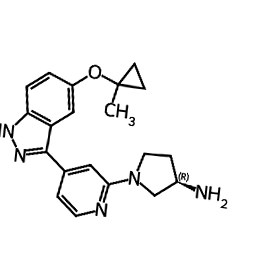 CC1(Oc2ccc3[nH]nc(-c4ccnc(N5CC[C@@H](N)C5)c4)c3c2)CC1